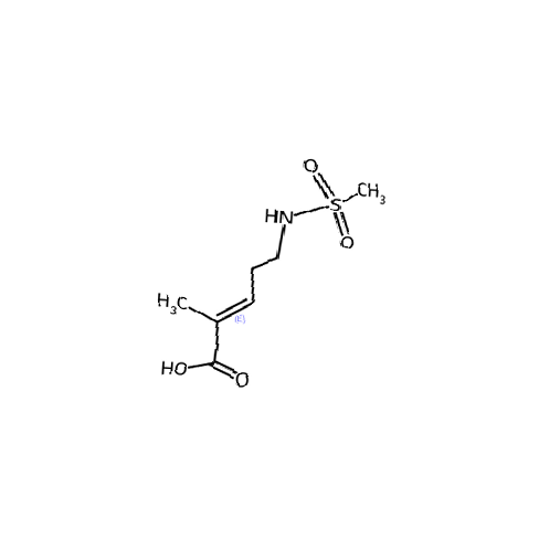 C/C(=C\CCNS(C)(=O)=O)C(=O)O